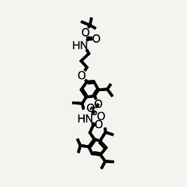 CC(C)c1cc(C(C)C)c(CC(=O)NS(=O)(=O)Oc2c(C(C)C)cc(OCCCNC(=O)OC(C)(C)C)cc2C(C)C)c(C(C)C)c1